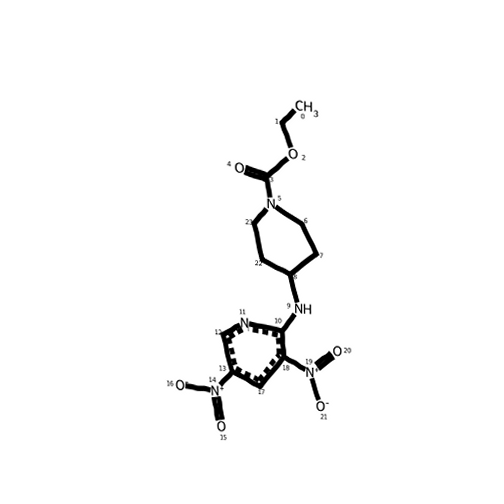 CCOC(=O)N1CCC(Nc2ncc([N+](=O)[O-])cc2[N+](=O)[O-])CC1